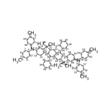 Cc1ccc(N(c2ccc(C)cc2)c2ccc3c(c2)C(C)(C)c2cc4c(-c5ccccc5)c5c(cc4c(-c4ccccc4)c2-3)C(C)(C)c2cc(N(c3ccc(C)cc3)c3ccc(C)cc3)ccc2-5)cc1